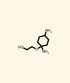 NC1CCC(N)(OCCO)CC1